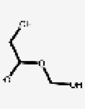 [O]C(CO)OCO